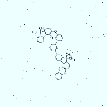 CC1(C)c2ccccc2-c2c1ccc1c2Oc2c(cccc2-c2cccc(-c3ccc4c(c3)C(C)(C)c3ccc5c(c3-4)Sc3ccccc3S5)n2)O1